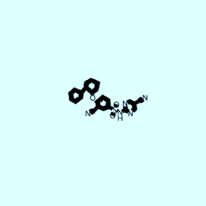 N#Cc1cnc(NS(=O)(=O)c2ccc(Oc3ccccc3-c3ccccc3)c(C#N)c2)nc1